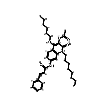 CCCCCCCCn1c(=O)c(OC(C)=O)c(OCCCCCC)c2ccc(NC(=O)C=Cc3ccccc3)cc21